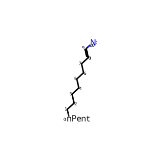 CCCCCCCCCCCCC=C[N]